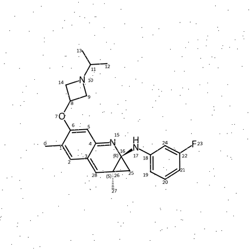 Cc1cc2c(cc1OC1CN(C(C)C)C1)=N[C@]1(Nc3cccc(F)c3)C[C@@]1(C)C=2